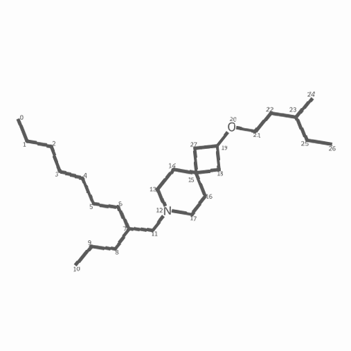 CCCCCCCC(CCC)CN1CCC2(CC1)CC(OCCC(C)CC)C2